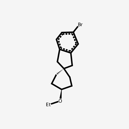 CCO[C@H]1CC[C@]2(CC1)Cc1ccc(Br)cc1C2